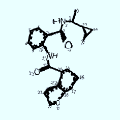 CC(NC(=O)c1ccccc1NC(=O)c1cccc2occc12)C1CC1